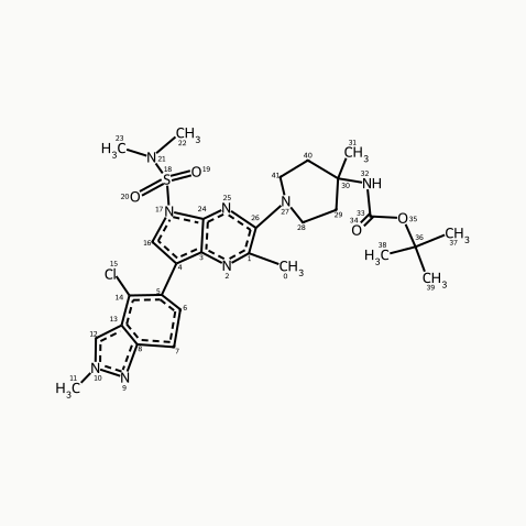 Cc1nc2c(-c3ccc4nn(C)cc4c3Cl)cn(S(=O)(=O)N(C)C)c2nc1N1CCC(C)(NC(=O)OC(C)(C)C)CC1